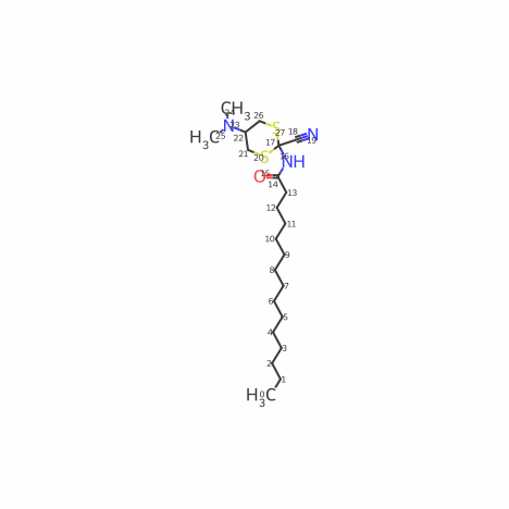 CCCCCCCCCCCCCCC(=O)NC1(C#N)SCC(N(C)C)CS1